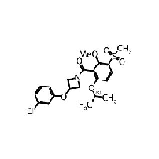 COc1c(S(C)(=O)=O)ccc(O[C@@H](C)C(F)(F)F)c1C(=O)N1CC(Oc2cccc(Cl)c2)C1